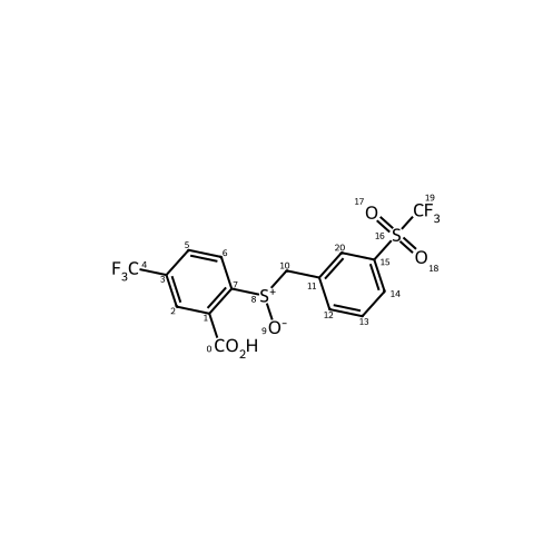 O=C(O)c1cc(C(F)(F)F)ccc1[S+]([O-])Cc1cccc(S(=O)(=O)C(F)(F)F)c1